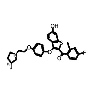 Cc1cc(F)ccc1C(=O)c1sc2cc(O)ccc2c1Oc1ccc(OCCN2CC[C@H](C)C2)cc1